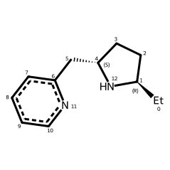 CC[C@@H]1CC[C@@H](Cc2ccccn2)N1